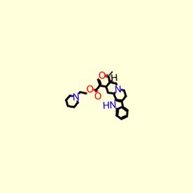 C[C@@H]1OC=C(C(=O)OCCN2CCCCC2)C2CC3c4[nH]c5ccccc5c4CCN3C[C@@H]21